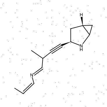 C/C=C\N=CC(C)C#C[C@H]1C[C@@H]2CC2N1